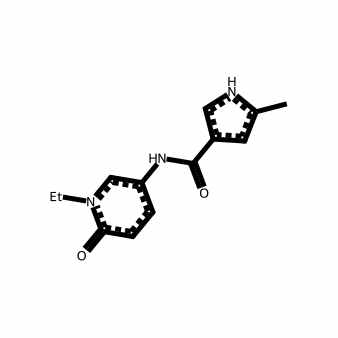 CCn1cc(NC(=O)c2c[nH]c(C)c2)ccc1=O